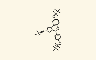 CC(C)(C)[Si](C)(C)Oc1ccc(C2Oc3ccc(O[Si](C)(C)C(C)(C)C)cc3C3CC(C#C[Si](C)(C)C)CC32)cc1